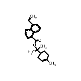 C=Cc1cccc2c(C(=O)OC(C)(C)C3CC=C(C)CC3)cccc12